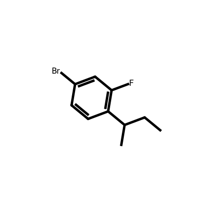 CCC(C)c1ccc(Br)cc1F